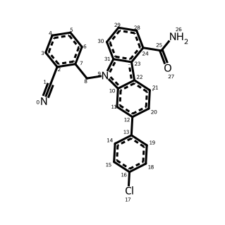 N#Cc1ccccc1Cn1c2cc(-c3ccc(Cl)cc3)c[c]c2c2c(C(N)=O)cccc21